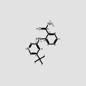 CC(C)(C)c1cncc(Nc2ccccc2C(N)=O)c1